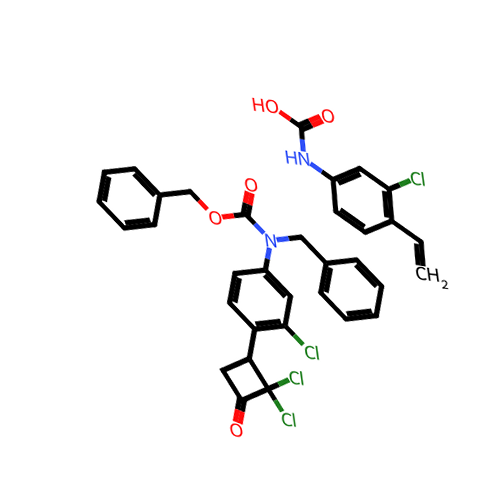 C=Cc1ccc(NC(=O)O)cc1Cl.O=C(OCc1ccccc1)N(Cc1ccccc1)c1ccc(C2CC(=O)C2(Cl)Cl)c(Cl)c1